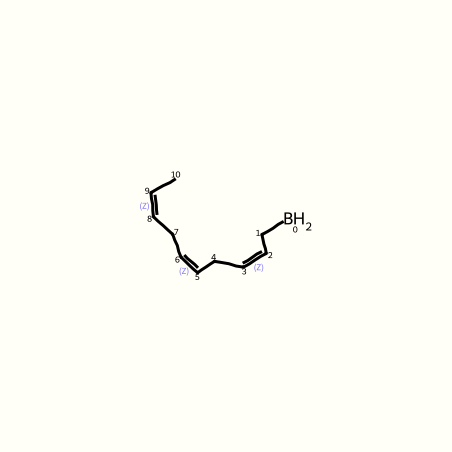 BC/C=C\C/C=C\C/C=C\C